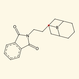 O=C1c2ccccc2C(=O)N1CCCB1C2CCCC1CCC2